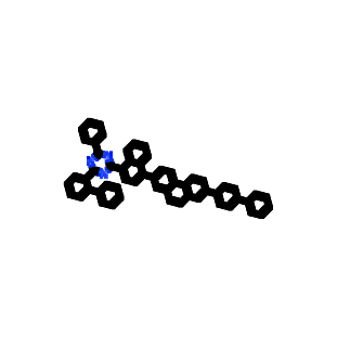 c1ccc(-c2ccc(-c3ccc4c(ccc5cc(-c6ccc(-c7nc(-c8ccccc8)nc(-c8ccccc8-c8ccccc8)n7)c7ccccc67)ccc54)c3)cc2)cc1